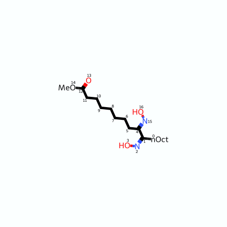 CCCCCCCCC(=NO)C(CCCCCCCC(=O)OC)=NO